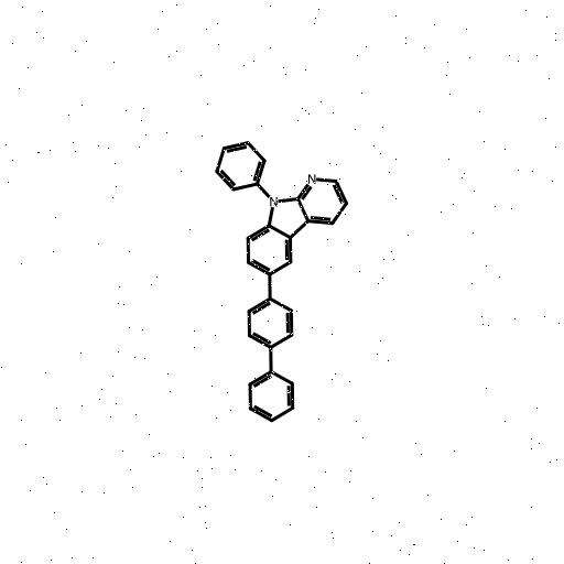 c1ccc(-c2ccc(-c3ccc4c(c3)c3cccnc3n4-c3ccccc3)cc2)cc1